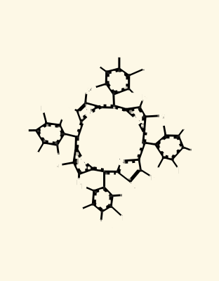 Cc1c(F)c(F)c(-c2c3nc(c(-c4c(F)c(F)c(F)c(F)c4F)c4[nH]c(c(Br)c4Br)c(-c4c(F)c(F)c(F)c(F)c4F)c4nc(c(-c5c(F)c(F)c(F)c(F)c5F)c5[nH]c2c(Br)c5Br)C(Br)=C4Br)C(Br)=C3Br)c(F)c1F